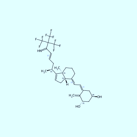 C=C1/C(=C\C=C2/CCC[C@]3(C)C([C@@H](C)C/C=C/C(=N)C(C(F)(F)F)(C(F)(F)F)C(F)(F)F)=CC[C@@H]23)C[C@@H](O)C[C@@H]1O